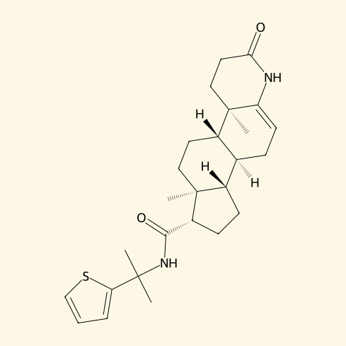 CC(C)(NC(=O)[C@H]1CC[C@H]2[C@@H]3CC=C4NC(=O)CC[C@]4(C)[C@H]3CC[C@]12C)c1cccs1